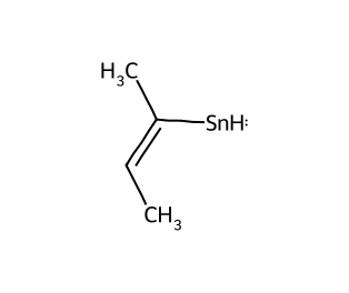 CC=[C](C)[SnH]